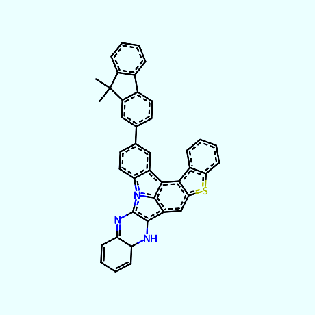 CC1(C)c2ccccc2-c2ccc(-c3ccc4c(c3)c3c5c(cc6c7c(n4c63)N=C3C=CC=CC3N7)sc3ccccc35)cc21